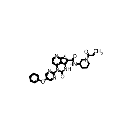 C=CC(=O)N1CCCC(NC(=O)c2sc3nccc4c3c2NC(=O)N4c2ncc(Oc3ccccc3)cn2)C1